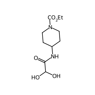 CCOC(=O)N1CCC(NC(=O)C(O)O)CC1